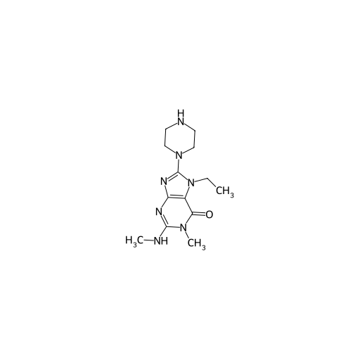 CCn1c(N2CCNCC2)nc2nc(NC)n(C)c(=O)c21